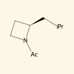 CC(=O)N1CC[C@H]1CC(C)C